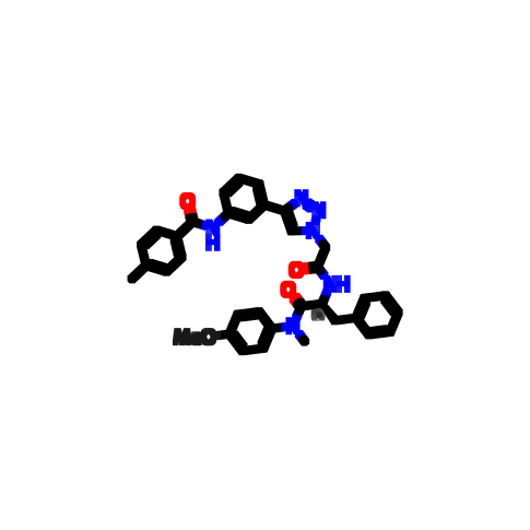 COc1ccc(N(C)C(=O)[C@H](Cc2ccccc2)NC(=O)Cn2cc(-c3cccc(NC(=O)c4ccc(C)cc4)c3)nn2)cc1